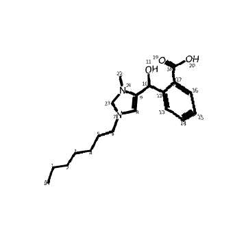 CCCCCCCN1C=C(C(O)c2ccccc2C(=O)O)N(C)C1